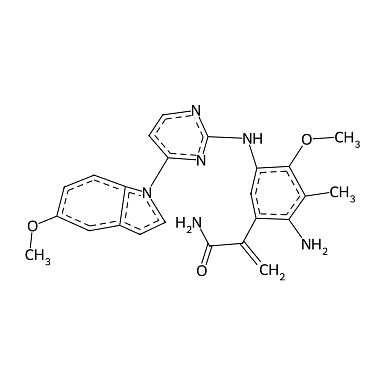 C=C(C(N)=O)c1cc(Nc2nccc(-n3ccc4cc(OC)ccc43)n2)c(OC)c(C)c1N